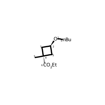 CCCCO[C@H]1C[C@](C)(C(=O)OCC)C1